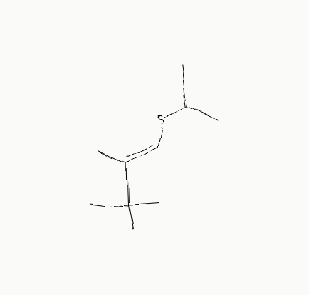 C/C(=C\SC(C)C)C(C)(C)C